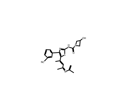 C=C(C)/N=C(C)\C=C(/C)c1sc(NC(=O)N2CC(O)C2)nc1-c1cccc(C#N)c1